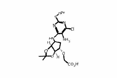 CCCSc1nc(Cl)c(N)c(NC2C[C@H](OCC(=O)O)[C@H]3OC(C)(C)O[C@@H]23)n1